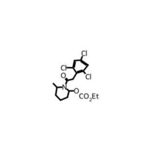 CCOC(=O)OC1CCCC(C)N1C(=O)Cc1c(Cl)cc(Cl)cc1Cl